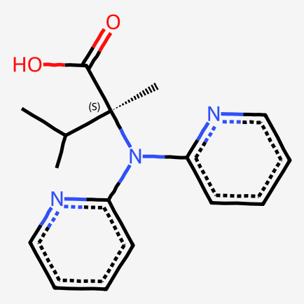 CC(C)[C@@](C)(C(=O)O)N(c1ccccn1)c1ccccn1